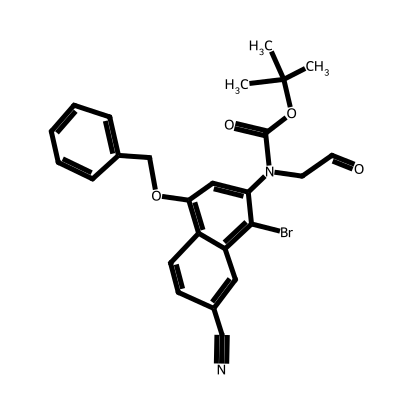 CC(C)(C)OC(=O)N(CC=O)c1cc(OCc2ccccc2)c2ccc(C#N)cc2c1Br